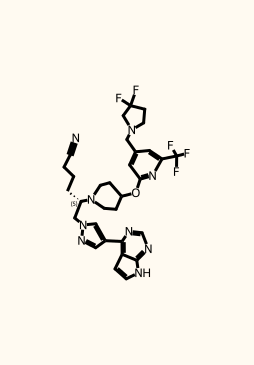 N#CCCC[C@@H](Cn1cc(-c2ncnc3[nH]ccc23)cn1)N1CCC(Oc2cc(CN3CCC(F)(F)C3)cc(C(F)(F)F)n2)CC1